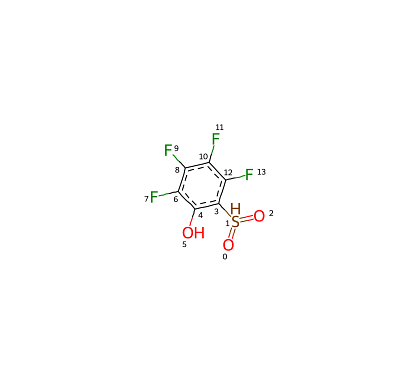 O=[SH](=O)c1c(O)c(F)c(F)c(F)c1F